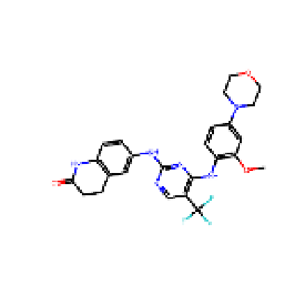 COc1cc(N2CCOCC2)ccc1Nc1nc(Nc2ccc3c(c2)CCC(=O)N3)ncc1C(F)(F)F